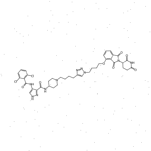 O=C1CCC(N2C(=O)c3cccc(OCCCCn4cc(CCCCN5CCC(NC(=O)c6n[nH]cc6NC(=O)c6c(Cl)cccc6Cl)CC5)nn4)c3C2=O)C(=O)N1